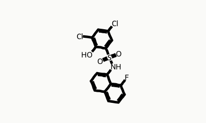 O=S(=O)(Nc1cccc2cccc(F)c12)c1cc(Cl)cc(Cl)c1O